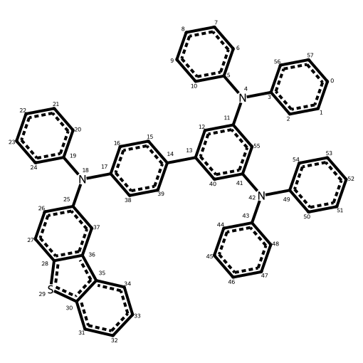 c1ccc(N(c2ccccc2)c2cc(-c3ccc(N(c4ccccc4)c4ccc5sc6ccccc6c5c4)cc3)cc(N(c3ccccc3)c3ccccc3)c2)cc1